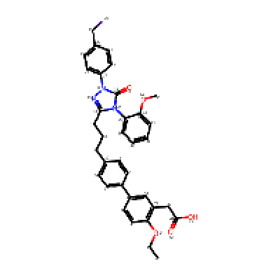 CCOc1ccc(-c2ccc(CCCc3nn(-c4ccc(CI)cc4)c(=O)n3-c3ccccc3OC)cc2)cc1CC(=O)O